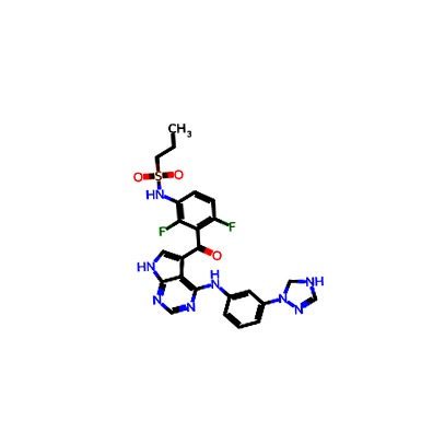 CCCS(=O)(=O)Nc1ccc(F)c(C(=O)c2c[nH]c3ncnc(Nc4cccc(N5CNC=N5)c4)c23)c1F